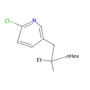 CCCCCCC(C)(CC)Cc1ccc(Cl)nc1